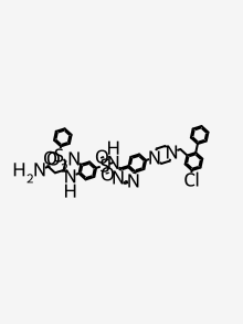 NC(=O)CC(CSc1ccccc1)Nc1ccc(S(=O)(=O)Nc2ncnc3cc(N4CCN(Cc5cc(Cl)ccc5-c5ccccc5)CC4)ccc23)cc1[N+](=O)[O-]